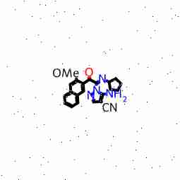 COc1cc2ccccc2cc1C(=O)/C(=N/C1CCCC1)n1ncc(C#N)c1N